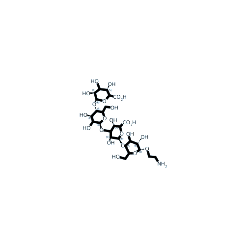 NCCO[C@@H]1OC(CO)[C@@H](O[C@@H]2OC(C(=O)O)[C@@H](O)C(O[C@@H]3OC(CO)[C@@H](O[C@@H]4OC(C(=O)O)[C@@H](O)C(O)[C@@H]4O)[C@H](O)C3O)[C@@H]2O)C(O)[C@@H]1O